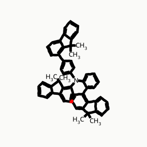 CC1(C)c2ccccc2-c2c(-c3ccccc3N(c3ccc(-c4cccc5c4C(C)(C)c4ccccc4-5)cc3)c3cccc4c3C(C)(C)c3ccccc3-4)cccc21